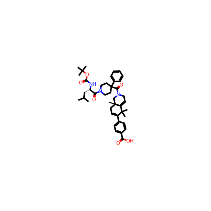 CC(C)C[C@H](NC(=O)OC(C)(C)C)C(=O)N1CCC(C(=O)N2CC=C3C(C)(C)C(c4ccc(C(=O)O)cc4)=CC[C@]3(C)C2)(c2ccccc2)CC1